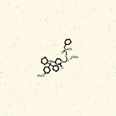 COC[C@H](Cn1ccc(NC(c2ccccc2)(c2ccccc2)c2ccc(OC)cc2)nc1=O)OCP(=O)(O)Cc1ccccc1